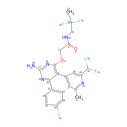 Cc1cc(-c2c(OCC(=O)NCC(C)(F)F)nc(N)nc2-c2ccc(F)cc2)cc(C(F)F)n1